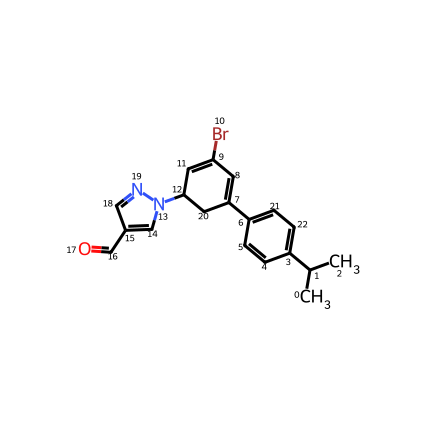 CC(C)c1ccc(C2=CC(Br)=CC(n3cc(C=O)cn3)C2)cc1